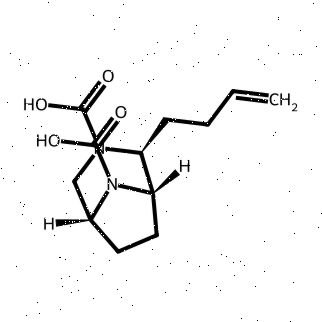 C=CCC[C@H]1[C@@H]2CC[C@H](CN1C(=O)O)N2C(=O)O